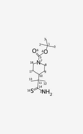 CC(C)(C)OC(=O)N1CCC(C(C)(C)C(N)=S)CC1